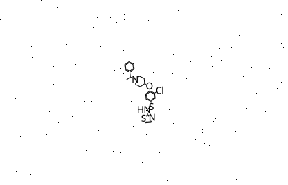 CC(c1ccccc1)N1CCC(Oc2ccc(SNc3nccs3)cc2Cl)CC1